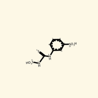 O=S(=O)(O)NC(=S)Nc1cccc(S(=O)(=O)O)c1